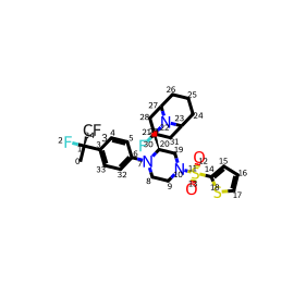 C[C@](F)(c1ccc(N2CCN(S(=O)(=O)c3cccs3)C[C@@H]2CN2C3CCCC2CC(F)C3)cc1)C(F)(F)F